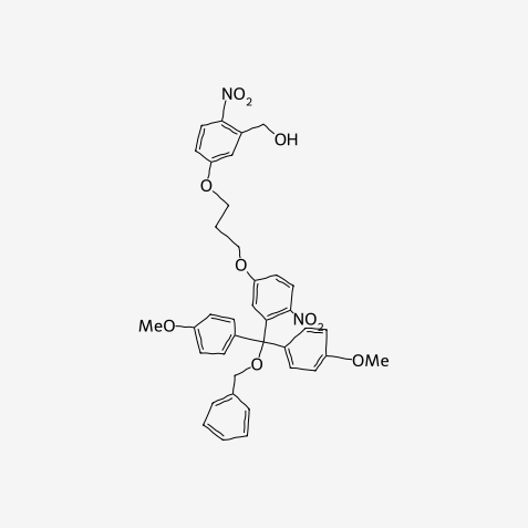 COc1ccc(C(OCc2ccccc2)(c2ccc(OC)cc2)c2cc(OCCCOc3ccc([N+](=O)[O-])c(CO)c3)ccc2[N+](=O)[O-])cc1